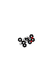 CC(CC(C)(C)OC1=C(C2CCCCC2)C(=O)c2ccccc2C1=O)P(Br)(c1ccccc1)(c1ccccc1)c1ccccc1